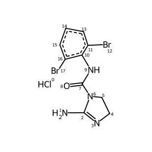 Cl.NC1=NCCN1C(=O)Nc1c(Br)cccc1Br